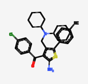 [C-]#[N+]c1ccc(-c2sc(N)c(C(=O)c3ccc(Cl)cc3)c2CN(C2CCCCC2)C2CCCCC2)cc1